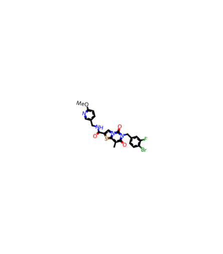 COc1ccc(CNC(=O)c2cn3c(=O)n(Cc4ccc(Br)c(F)c4)c(=O)c(C)c3s2)cn1